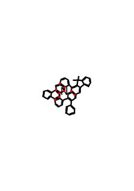 CC1(C)c2ccccc2-c2cccc(-c3ccccc3N(c3ccc4ccccc4c3)c3cccc(-c4ccccc4)c3-c3ccccc3-c3ccccc3)c21